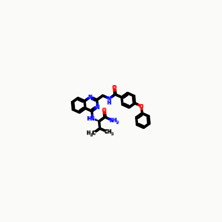 CC(C)[C@H](Nc1nc(CNC(=O)c2ccc(Oc3ccccc3)cc2)nc2ccccc12)C(N)=O